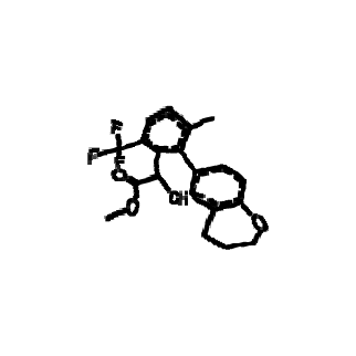 COC(=O)C(O)c1c(C(F)(F)F)ccc(C)c1-c1ccc2c(c1)CCCO2